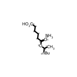 CCCCC(C)OC(=O)CCCCC(=O)O.N